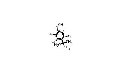 COc1cc(F)c(C(C)(C)C)c(F)c1F